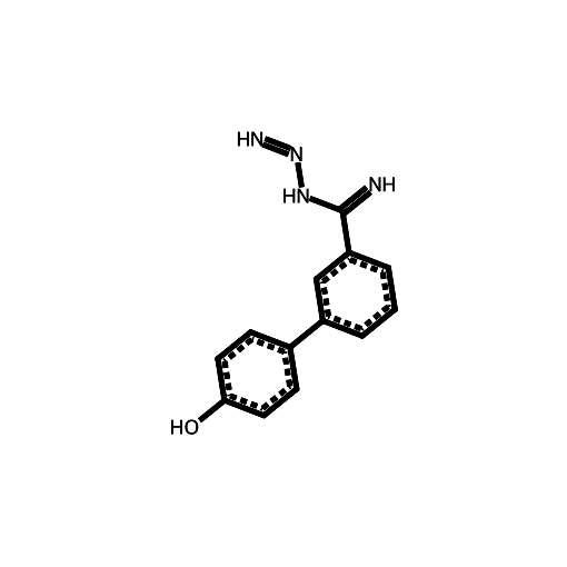 N=NNC(=N)c1cccc(-c2ccc(O)cc2)c1